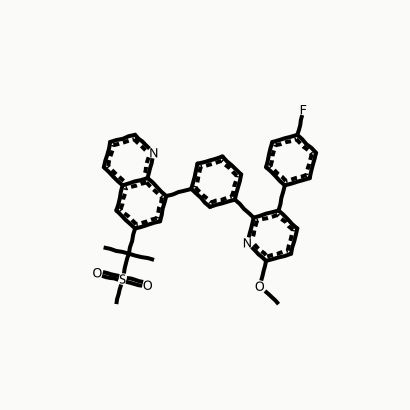 COc1ccc(-c2ccc(F)cc2)c(-c2cccc(-c3cc(C(C)(C)S(C)(=O)=O)cc4cccnc34)c2)n1